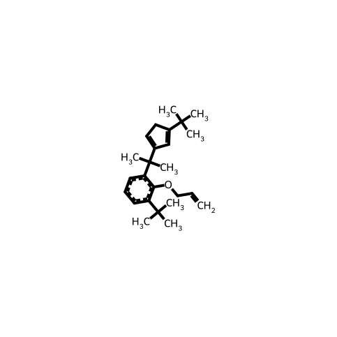 C=CCOc1c(C(C)(C)C)cccc1C(C)(C)C1=CCC(C(C)(C)C)=C1